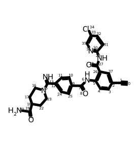 C#Cc1ccc(NC(=O)c2ccc(C(=N)N3CCC(C(N)=O)CC3)cc2)c(C(=O)Nc2ccc(Cl)cn2)c1